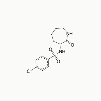 O=C1NCCCC[C@H]1NS(=O)(=O)c1ccc(Cl)cc1